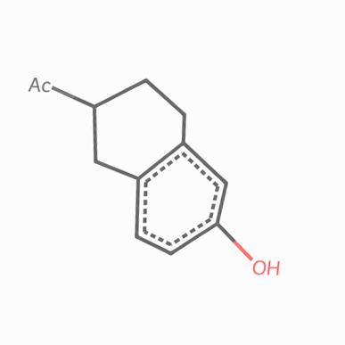 CC(=O)C1CCc2cc(O)ccc2C1